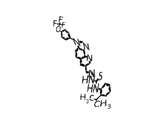 CC(C)c1ccccc1NC(=S)N/N=C/c1cnc2c(ccc3c2ncn3-c2ccc(OC(F)(F)F)cc2)c1